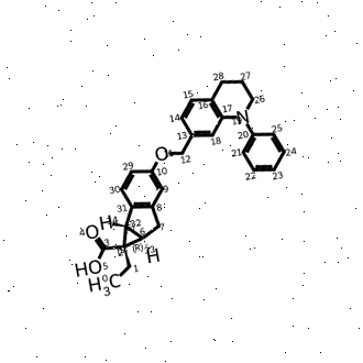 CC[C@]1(C(=O)O)[C@@H]2Cc3cc(OCc4ccc5c(c4)N(c4ccccc4)CCC5)ccc3[C@H]21